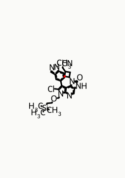 Cn1ncc2cc(-c3c(Cl)n(COCC[Si](C)(C)C)c4ncc5[nH]c(=O)n(C6CC(CC#N)C6)c5c34)ccc21